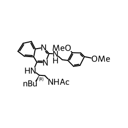 CCCC[C@H](CNC(C)=O)Nc1nc(NCc2ccc(OC)cc2OC)nc2ccccc12